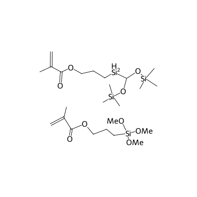 C=C(C)C(=O)OCCC[SiH2]C(O[Si](C)(C)C)O[Si](C)(C)C.C=C(C)C(=O)OCCC[Si](OC)(OC)OC